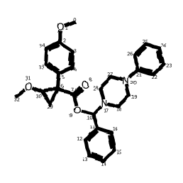 COc1ccc(C2(C(=O)OC(c3ccccc3)N3CCN(c4ccccc4)CC3)CC2OC)cc1